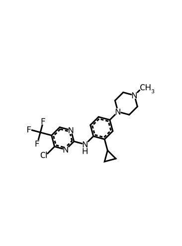 CN1CCN(c2ccc(Nc3ncc(C(F)(F)F)c(Cl)n3)c(C3CC3)c2)CC1